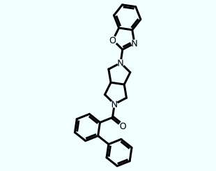 O=C(c1ccccc1-c1ccccc1)N1CC2CN(c3nc4ccccc4o3)CC2C1